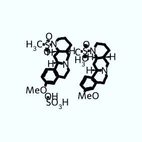 COc1ccc2c(c1)CCN1C[C@H]3CCCN(S(C)(=O)=O)[C@H]3C[C@@H]21.COc1ccc2c(c1)CCN1C[C@H]3CCCN(S(C)(=O)=O)[C@H]3C[C@@H]21.O=S(=O)(O)O